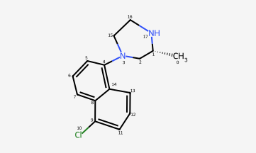 C[C@@H]1CN(c2cccc3c(Cl)cccc23)CCN1